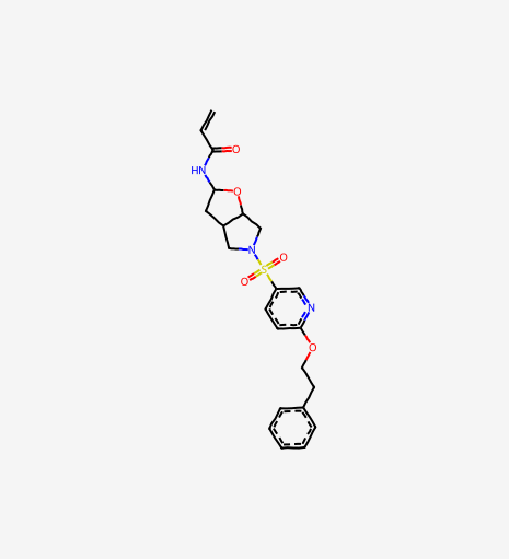 C=CC(=O)NC1CC2CN(S(=O)(=O)c3ccc(OCCc4ccccc4)nc3)CC2O1